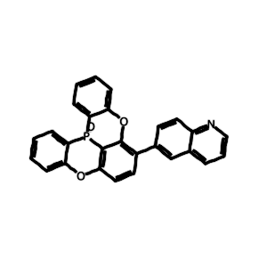 O=P12c3ccccc3Oc3ccc(-c4ccc5ncccc5c4)c(c31)Oc1ccccc12